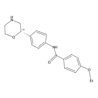 CCOc1ccc(C(=O)Nc2ccc([C@H]3CNCCO3)cc2)cc1